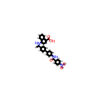 C=C(Nc1ccc(C(=O)O)c2ccccc12)c1ccc(-c2ccc(NC(=O)c3ccc([N+](=O)[O-])cc3)cc2)cc1